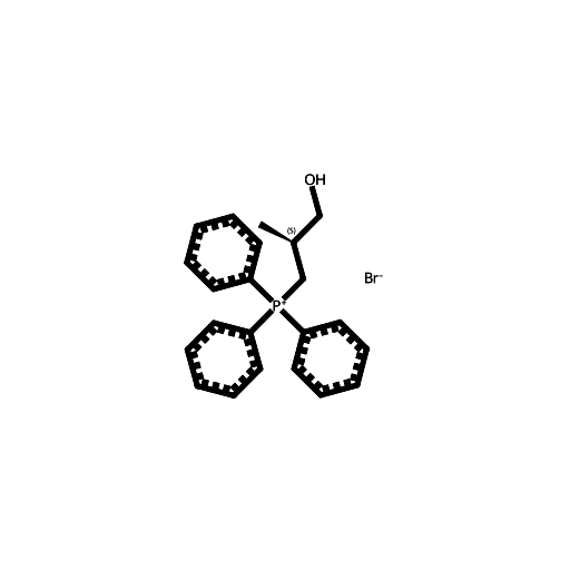 C[C@@H](CO)C[P+](c1ccccc1)(c1ccccc1)c1ccccc1.[Br-]